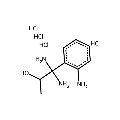 CC(O)C(N)(N)c1ccccc1N.Cl.Cl.Cl.Cl